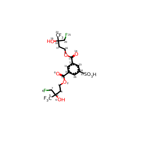 O=C(OCCC(O)(CF)C(F)(F)F)c1cc(C(=O)OCCC(O)(CF)C(F)(F)F)cc(S(=O)(=O)O)c1